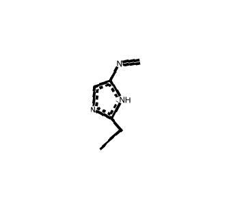 C=Nc1cnc(CC)[nH]1